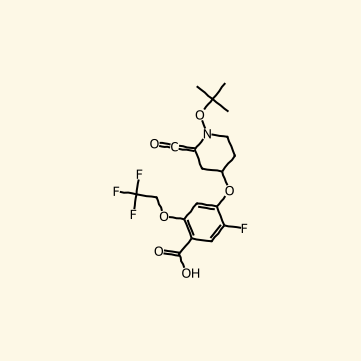 CC(C)(C)ON1CCC(Oc2cc(OCC(F)(F)F)c(C(=O)O)cc2F)CC1=C=O